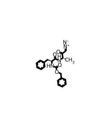 C[C@H](NC(=O)[C@H](Cc1ccccc1)NC(=O)OCc1ccccc1)C(=O)C=[N+]=[N-]